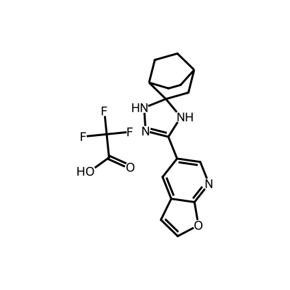 O=C(O)C(F)(F)F.c1cc2cc(C3=NNC4(CC5CCC4CC5)N3)cnc2o1